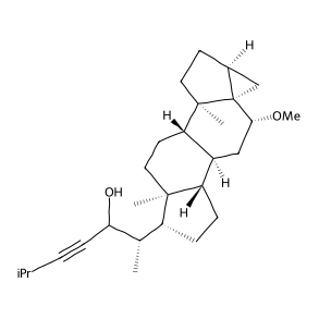 CO[C@@H]1C[C@H]2[C@@H]3CC[C@H]([C@H](C)C(O)C#CC(C)C)[C@@]3(C)CC[C@@H]2[C@@]2(C)CC[C@H]3C[C@]312